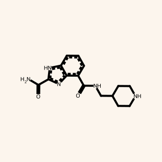 NC(=O)c1nc2c(C(=O)NCC3CCNCC3)cccc2[nH]1